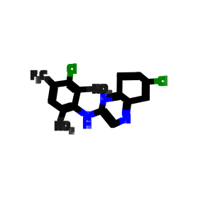 O=[N+]([O-])c1cc(C(F)(F)F)c(Cl)c([N+](=O)[O-])c1Nc1cnc2cc(Cl)ccc2n1